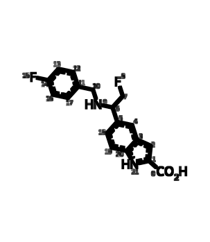 O=C(O)c1cc2cc(C(CF)NCc3ccc(F)cc3)ccc2[nH]1